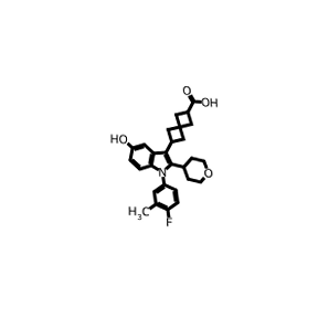 Cc1cc(-n2c(C3CCOCC3)c(C3CC4(CC(C(=O)O)C4)C3)c3cc(O)ccc32)ccc1F